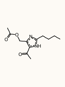 CCCCc1nc(COC(C)=O)c(C(C)=O)[nH]1